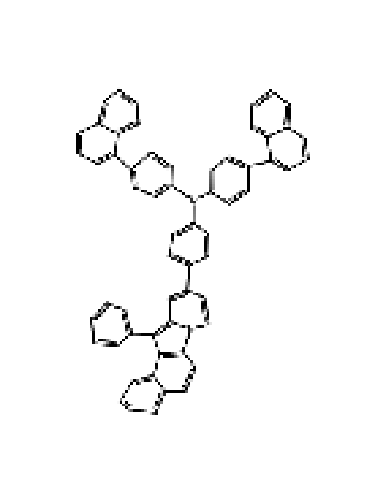 c1ccc(-c2c3c4ccccc4ccc3n3ccc(-c4ccc(N(c5ccc(-c6cccc7ccccc67)cc5)c5ccc(-c6cccc7ccccc67)cc5)cc4)cc23)cc1